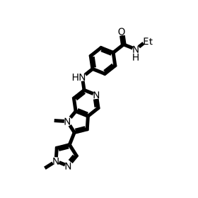 CCNC(=O)c1ccc(Nc2cc3c(cn2)cc(-c2cnn(C)c2)n3C)cc1